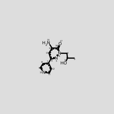 CC(O)Cn1nc(-c2ccncc2)cc(N)c1=O